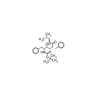 CC(C)C=CC(=O)[C@H](Cc1ccccc1)C[C@H](O)[C@H](Cc1ccccc1)NC(=O)OC(C)(C)C